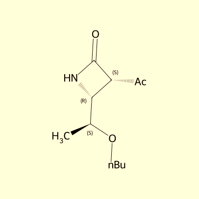 CCCCO[C@@H](C)[C@@H]1NC(=O)[C@@H]1C(C)=O